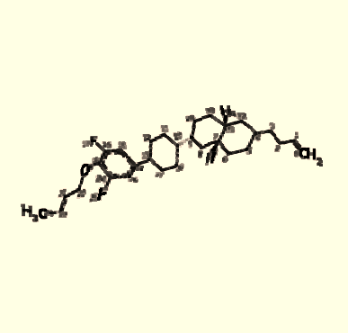 C=CCCC1CC[C@@H]2C[C@H](C3CCC(c4cc(F)c(OC/C=C/C)c(F)c4)CC3)CC[C@@H]2C1